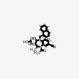 CC(=O)N1c2cc(C#N)ccc2N(Cc2c(C)ccc3ccccc23)C(=O)[C@@H](NC(=O)O)[C@@H]1C